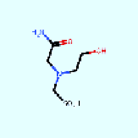 NC(=O)CN(CCO)CS(=O)(=O)O